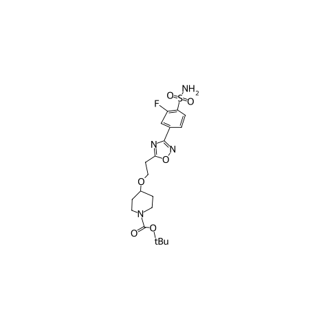 CC(C)(C)OC(=O)N1CCC(OCCc2nc(-c3ccc(S(N)(=O)=O)c(F)c3)no2)CC1